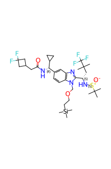 CC(C)(C)[S@@+]([O-])N[C@@H](CC(C)(C)C(F)(F)F)c1nc2cc([C@H](NC(=O)CC3CC(F)(F)C3)C3CC3)ccc2n1COCC[Si](C)(C)C